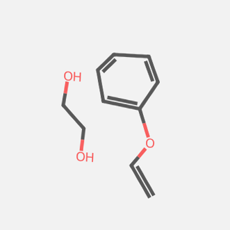 C=COc1ccccc1.OCCO